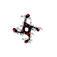 COc1cc(O)c2cc1C(c1ccc(C(=O)OCC(C)OC34CC5CC(CC(C)(C5)C3)C4C)cc1)c1cc(c(OC)cc1O)C(c1ccc(C(=O)OCCOC34CC5CC(CC(C)(C5)C3)C4C)cc1)c1cc(c(CO)cc1O)C(c1ccc(C(=O)OCCOC34CC5CC(CC(C)(C5)C3)C4C)cc1)c1cc(c(CO)cc1O)C2c1ccc(C(=O)OCCOC23CC4CC(CC(C)(C4)C2)C3C)cc1